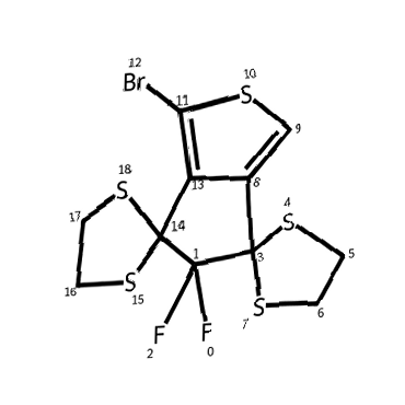 FC1(F)C2(SCCS2)c2csc(Br)c2C12SCCS2